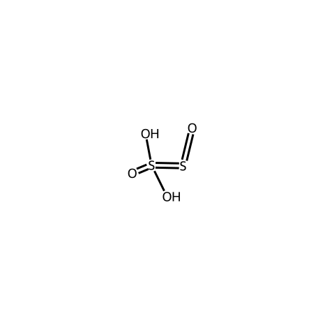 O=S=S(=O)(O)O